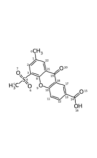 Cc1cc(S(C)(=O)=O)c2oc3ccc(C(=O)O)cc3c(=O)c2c1